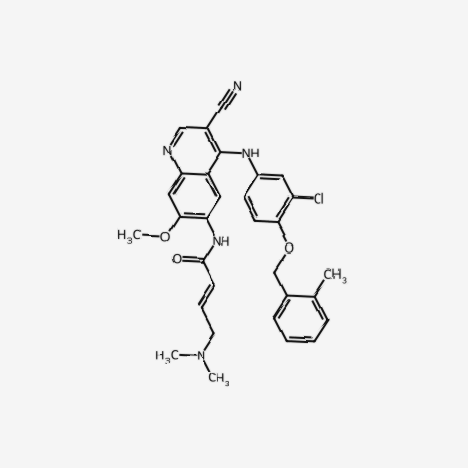 COc1cc2ncc(C#N)c(Nc3ccc(OCc4ccccc4C)c(Cl)c3)c2cc1NC(=O)/C=C/CN(C)C